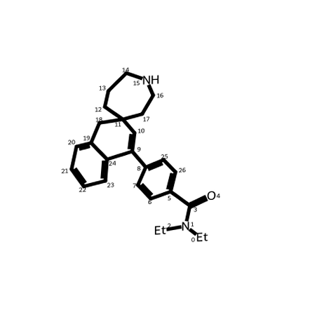 CCN(CC)C(=O)c1ccc(C2=CC3(CCCNCC3)Cc3ccccc32)cc1